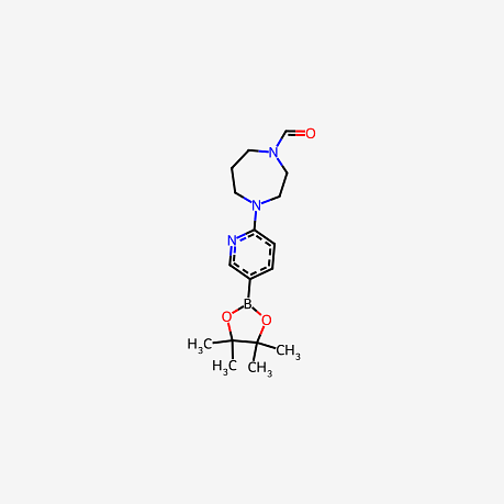 CC1(C)OB(c2ccc(N3CCCN(C=O)CC3)nc2)OC1(C)C